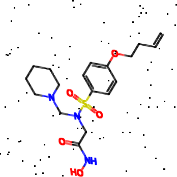 C=CCCOc1ccc(S(=O)(=O)N(CC(=O)NO)CN2CCCCC2)cc1